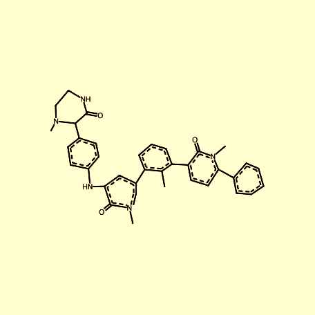 Cc1c(-c2cc(Nc3ccc(C4C(=O)NCCN4C)cc3)c(=O)n(C)c2)cccc1-c1ccc(-c2ccccc2)n(C)c1=O